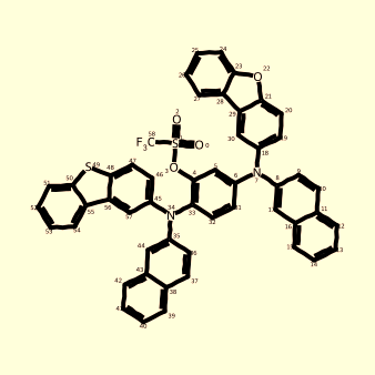 O=S(=O)(Oc1cc(N(c2ccc3ccccc3c2)c2ccc3oc4ccccc4c3c2)ccc1N(c1ccc2ccccc2c1)c1ccc2sc3ccccc3c2c1)C(F)(F)F